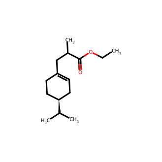 CCOC(=O)C(C)CC1=CC[C@@H](C(C)C)CC1